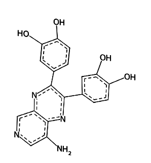 Nc1cncc2nc(-c3ccc(O)c(O)c3)c(-c3ccc(O)c(O)c3)nc12